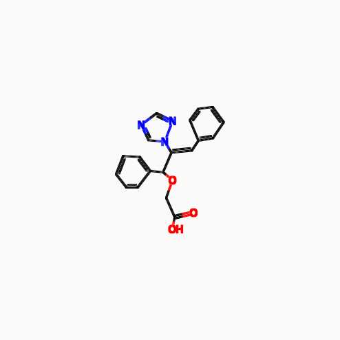 O=C(O)COC(C(=Cc1ccccc1)n1cncn1)c1ccccc1